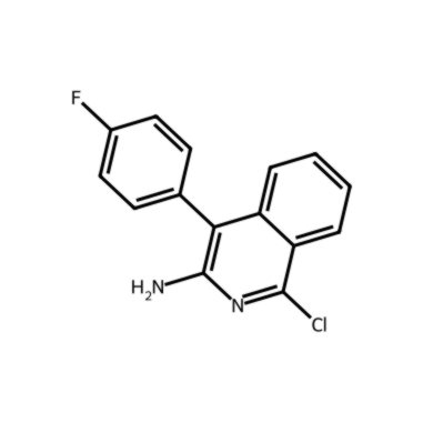 Nc1nc(Cl)c2ccccc2c1-c1ccc(F)cc1